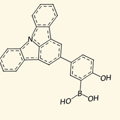 OB(O)c1cc(-c2cc3c4ccccc4n4c5ccccc5c(c2)c34)ccc1O